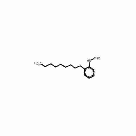 O=CNc1ccccc1OCCCCCCCC(=O)O